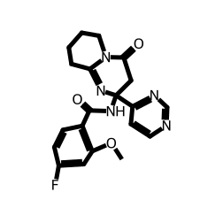 COc1cc(F)ccc1C(=O)NC1(c2ccncn2)CC(=O)N2CCCCC2=N1